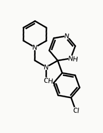 CN(CN1CC=CCC1)C1(c2ccc(Cl)cc2)C=CN=CN1